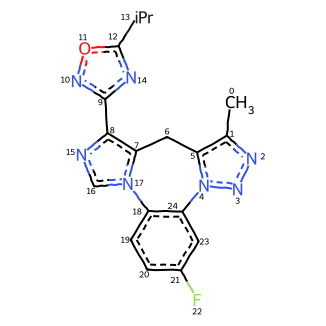 Cc1nnn2c1Cc1c(-c3noc(C(C)C)n3)ncn1-c1ccc(F)cc1-2